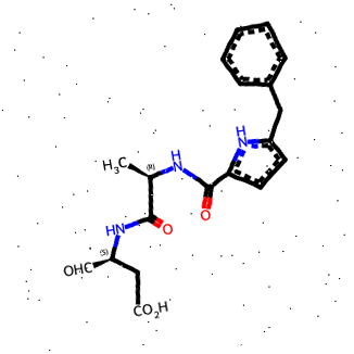 C[C@@H](NC(=O)c1ccc(Cc2ccccc2)[nH]1)C(=O)N[C@H](C=O)CC(=O)O